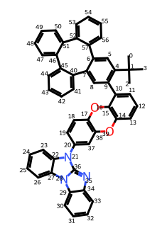 CC(C)(C)c1cc2c(cc1-c1cccc3c1Oc1ccc(-n4c5ccccc5n5c6ccccc6nc45)cc1O3)-c1ccccc1-c1ccccc1-c1ccccc1-2